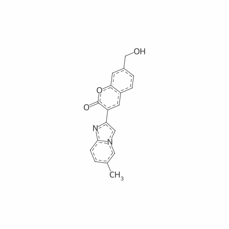 Cc1ccc2nc(-c3cc4ccc(CO)cc4oc3=O)cn2c1